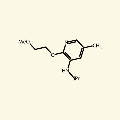 COCCOc1ncc(C)cc1NC(C)C